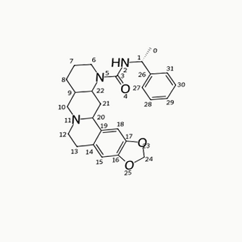 C[C@@H](NC(=O)N1CCCC2CN3CCc4cc5c(cc4C3CC21)OCO5)c1ccccc1